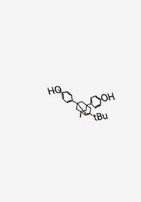 CC12CC3(c4ccc(O)cc4)CC(c4ccc(O)cc4)(C1)CC(C(C)(C)C)(C2)C3